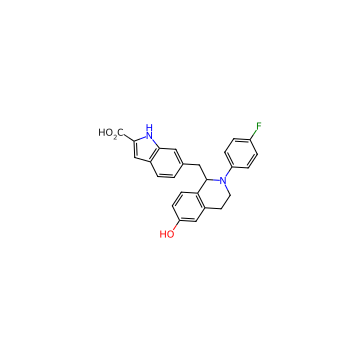 O=C(O)c1cc2ccc(CC3c4ccc(O)cc4CCN3c3ccc(F)cc3)cc2[nH]1